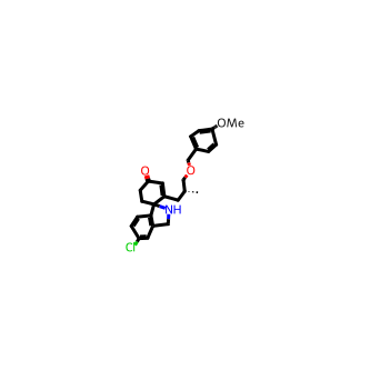 COc1ccc(COC[C@H](C)CC2=CC(=O)CCC23NCc2cc(Cl)ccc23)cc1